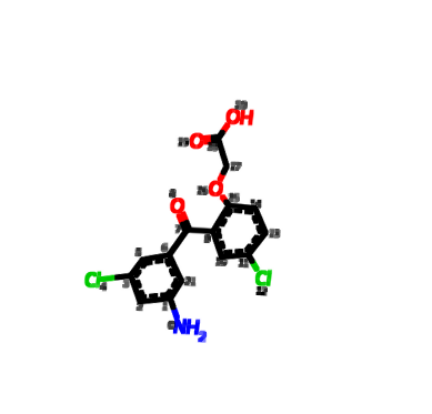 Nc1cc(Cl)cc(C(=O)c2cc(Cl)ccc2OCC(=O)O)c1